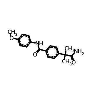 COc1ccc(NC(=O)c2ccc(C(C)(C)C(N)=O)cc2)cc1